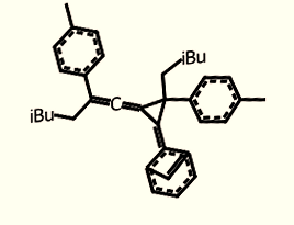 CCC(C)CC(=C=C1C(=c2c3cccc2=C3)C1(CC(C)CC)c1ccc(C)cc1)c1ccc(C)cc1